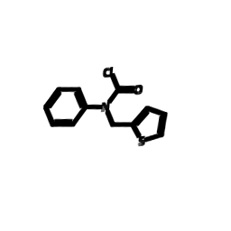 O=C(Cl)N(Cc1cccs1)c1ccccc1